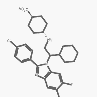 O=C(O)[C@H]1CC[C@H](NCC(C2CCCCC2)n2c(-c3ccc(Cl)cc3)nc3cc(F)c(F)cc32)CC1